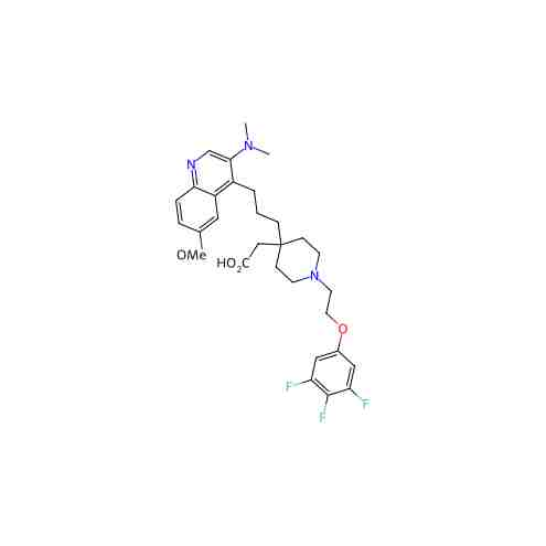 COc1ccc2ncc(N(C)C)c(CCCC3(CC(=O)O)CCN(CCOc4cc(F)c(F)c(F)c4)CC3)c2c1